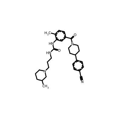 Cc1ccc(C(=O)N2CCC(c3ccc(C#N)cc3)CC2)cc1NC(=O)NCCCN1CCCC(C)C1